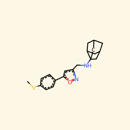 CSc1ccc(-c2cc(CNC34CC5CC(CC3C5)C4)no2)cc1